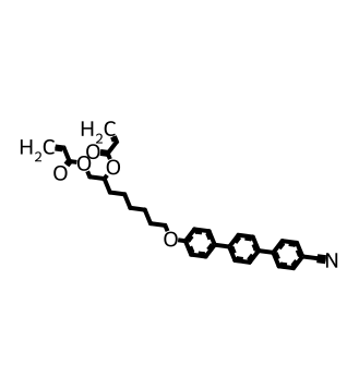 C=CC(=O)OCC(CCCCCCOc1ccc(-c2ccc(-c3ccc(C#N)cc3)cc2)cc1)OC(=O)C=C